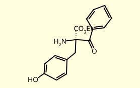 CCOC(=O)[C@@](N)(Cc1ccc(O)cc1)C(=O)c1ccccc1